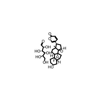 C[C@]12CC[C@H](O)C[C@H]1CC[C@@H]1[C@@H]2CC[C@]2(C)[C@@H](c3ccc(=O)oc3)C[C@H]3O[C@]132.O=C[C@@H](O)[C@@H](O)[C@H](O)[C@H](O)CO